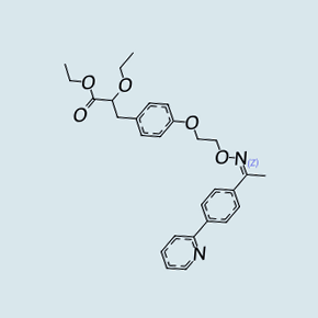 CCOC(=O)C(Cc1ccc(OCCO/N=C(/C)c2ccc(-c3ccccn3)cc2)cc1)OCC